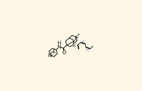 C=C(/C=C\C=C/C)[C@]12CC3CC(C(=O)NC45CCN(CC4)CC5)(C[C@](C)(C3)C1)C2